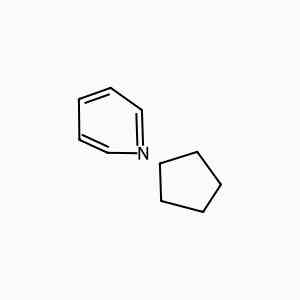 C1CCCC1.c1ccncc1